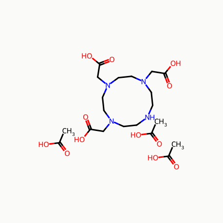 CC(=O)O.CC(=O)O.CC(=O)O.O=C(O)CN1CCNCCN(CC(=O)O)CCN(CC(=O)O)CC1